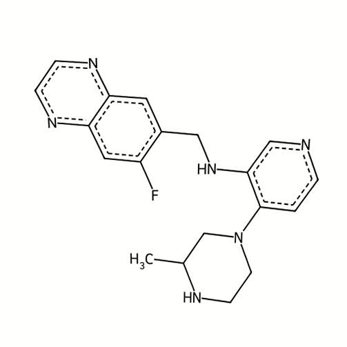 CC1CN(c2ccncc2NCc2cc3nccnc3cc2F)CCN1